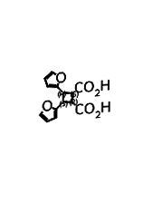 O=C(O)[C@@H]1[C@H](C(=O)O)[C@@H](c2ccco2)[C@H]1c1ccco1